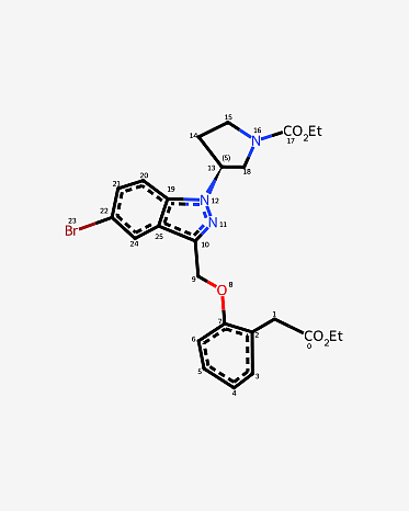 CCOC(=O)Cc1ccccc1OCc1nn([C@H]2CCN(C(=O)OCC)C2)c2ccc(Br)cc12